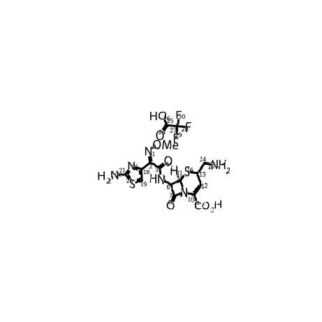 CO/N=C(\C(=O)NC1C(=O)N2C(C(=O)O)=CC(CN)S[C@H]12)c1csc(N)n1.O=C(O)C(F)(F)F